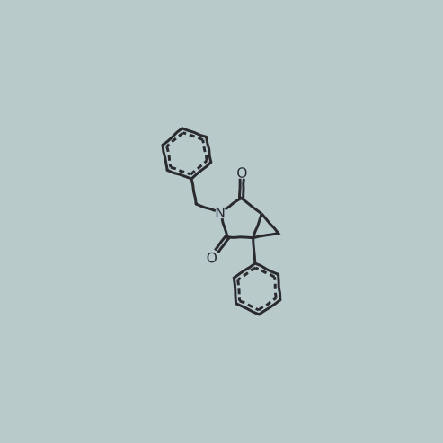 O=C1C2CC2(c2ccccc2)C(=O)N1Cc1ccccc1